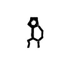 CCC1c2cccn2CCN1C